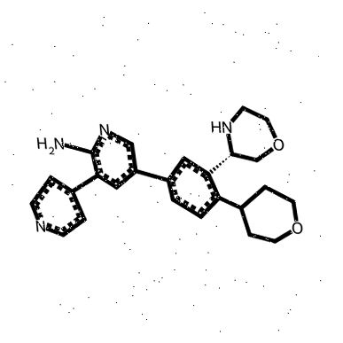 Nc1ncc(-c2ccc(C3CCOCC3)c([C@H]3COCCN3)c2)cc1-c1ccncc1